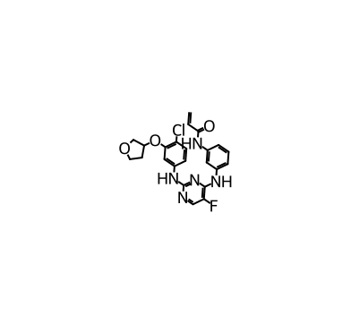 C=CC(=O)Nc1cccc(Nc2nc(Nc3ccc(Cl)c(OC4CCOC4)c3)ncc2F)c1